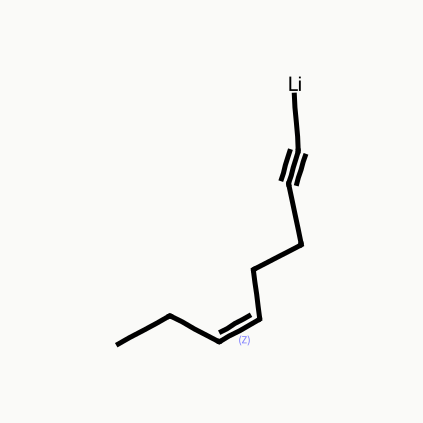 [Li][C]#CCC/C=C\CC